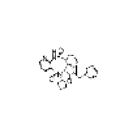 O=C1Nc2ncccc2C(=O)N(C2CCCC2)C(C(=O)NCc2ccccc2)c2ccccc21